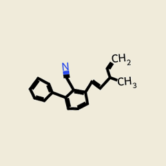 C=CC(C)/C=C/c1cccc(-c2ccccc2)c1C#N